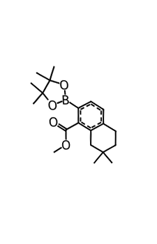 COC(=O)c1c(B2OC(C)(C)C(C)(C)O2)ccc2c1CC(C)(C)CC2